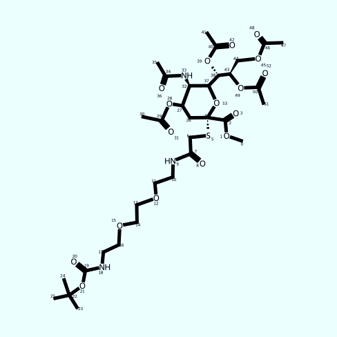 COC(=O)[C@@]1(SCC(=O)NCCOCCOCCNC(=O)OC(C)(C)C)CC(OC(C)=O)[C@@H](NC(C)=O)C([C@H](OC(C)=O)[C@@H](COC(C)=O)OC(C)=O)O1